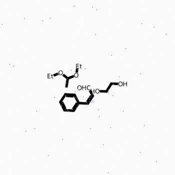 CCOC(C)OCC.O=C/C=C\c1ccccc1.OCCO